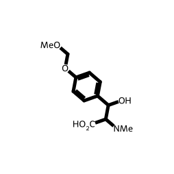 CNC(C(=O)O)C(O)c1ccc(OCOC)cc1